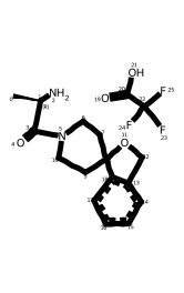 C[C@@H](N)C(=O)N1CCC2(CC1)OCc1ccccc12.O=C(O)C(F)(F)F